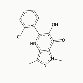 Cc1nn(C)c2c(=O)c(O)c(-c3ccccc3Cl)[nH]c12